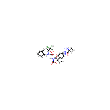 NC1(C(=O)Nc2ccc3c(c2)CCC32OC(=O)N(CC(=O)N3Cc4ccc(F)cc4CCC3(O)C(F)(F)F)C2=O)CCC1